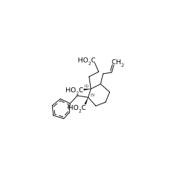 C=CCC1CCC[C@@](Cc2ccccc2)(C(=O)O)[C@@]1(CCC(=O)O)C(=O)O